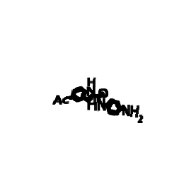 CC(=O)c1ccc2[nH]c(C(=O)Nc3ccc(N)cc3)cc2c1